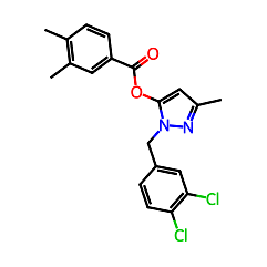 Cc1cc(OC(=O)c2ccc(C)c(C)c2)n(Cc2ccc(Cl)c(Cl)c2)n1